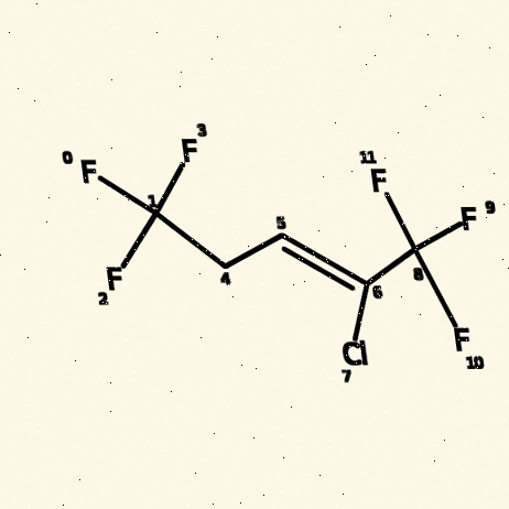 FC(F)(F)CC=C(Cl)C(F)(F)F